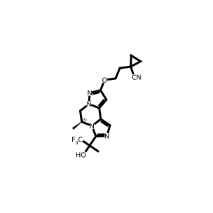 C[C@H]1Cn2nc(OCCC3(C#N)CC3)cc2-c2cnc(C(C)(O)C(F)(F)F)n21